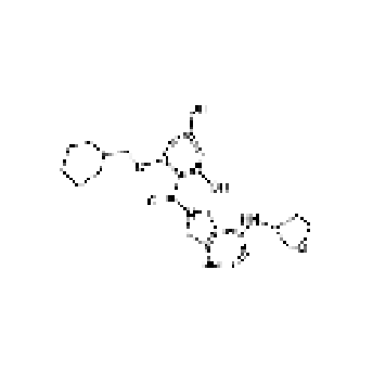 O=C(c1c(O)cc(O)cc1OCC1CCCCC1)N1Cc2cccc(NC3CCOC3)c2C1